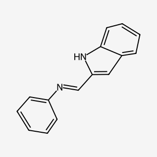 C(=N\c1ccccc1)/c1cc2ccccc2[nH]1